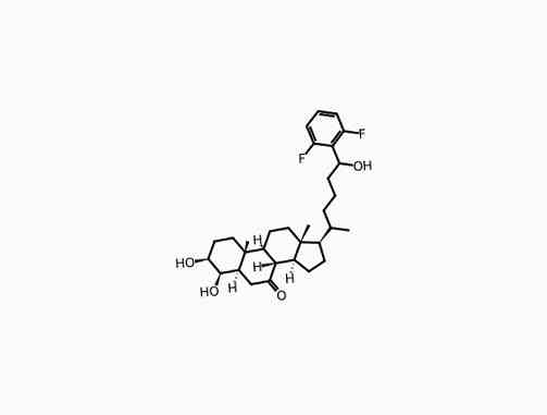 CC(CCCC(O)c1c(F)cccc1F)[C@H]1CC[C@H]2[C@@H]3C(=O)C[C@H]4[C@@H](O)[C@@H](O)CC[C@]4(C)[C@H]3CC[C@]12C